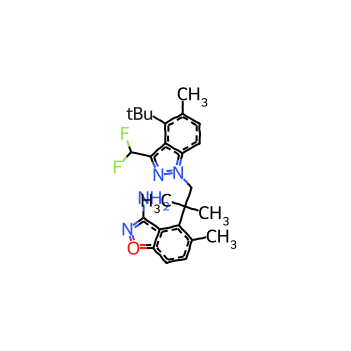 Cc1ccc2onc(N)c2c1C(C)(C)Cn1nc(C(F)F)c2c(C(C)(C)C)c(C)ccc21